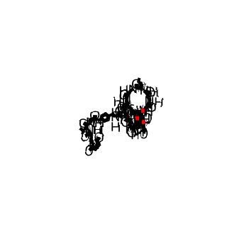 CC[C@H](C)[C@@H]1NC(=O)CNC(=O)[C@@H]2Cc3c([nH]c4ccccc34)S(=O)(=O)C[C@@H](NC(=O)CNC1=O)C(=O)N[C@@H](CC(=O)NCc1ccc(NC(=O)[C@H](C)NC(=O)[C@@H](NC(=O)CCN3C(=O)C=CC3=O)C(C)C)cc1)C(=O)N1C[C@H](O)C[C@]1(C=O)N[C@@H]([C@@H](C)[C@@H](O)CO)C(=O)N2